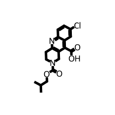 CC(C)COC(=O)N1CCc2nc3ccc(Cl)cc3c(C(=O)O)c2C1